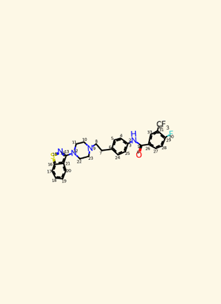 O=C(Nc1ccc(CCN2CCN(c3nsc4ccccc34)CC2)cc1)c1ccc(F)c(C(F)(F)F)c1